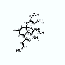 CC1=CC(SC(N=N)=NN)(SC(N=N)=NN)C(C)C(C(=O)C=CC#N)=C1